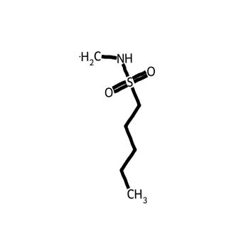 [CH2]NS(=O)(=O)CCCCC